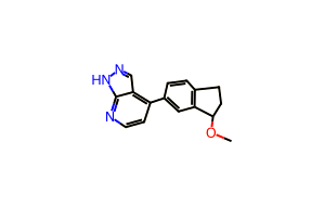 COC1CCc2ccc(-c3ccnc4[nH]ncc34)cc21